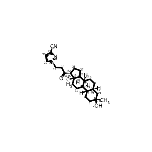 C[C@@]1(O)CC[C@H]2[C@H](CC[C@@H]3[C@@H]2CC[C@]2(C)[C@@H](C(=O)CCn4ccc(C#N)n4)CC[C@@H]32)C1